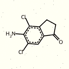 Nc1c(Cl)cc2c(c1Cl)CCC2=O